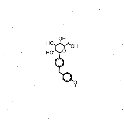 COc1ccc(Cc2ccc([C@@H]3O[C@H](CO)[C@@H](O)[C@H](O)[C@H]3O)cc2)cc1